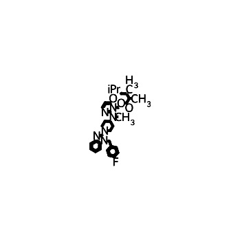 CC(C)CC(C)C(C)C(=O)OCn1c(N(C)C2CCN(c3nc4ccccc4n3Cc3ccc(F)cc3)CC2)nccc1=O